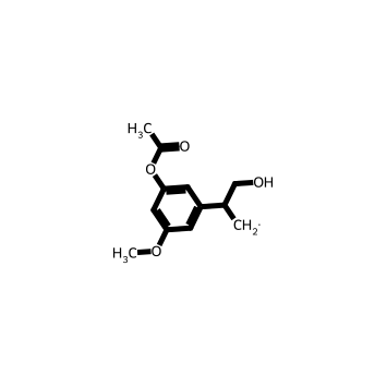 [CH2]C(CO)c1cc(OC)cc(OC(C)=O)c1